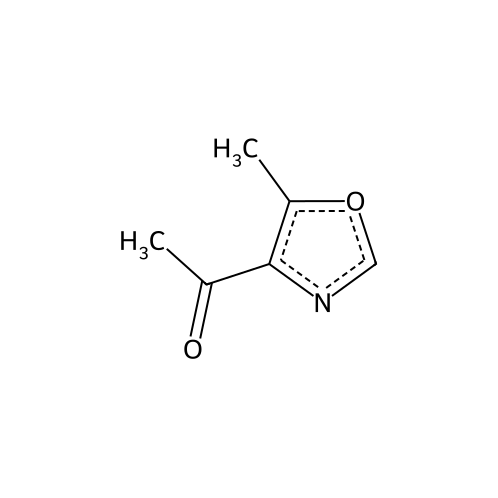 CC(=O)c1ncoc1C